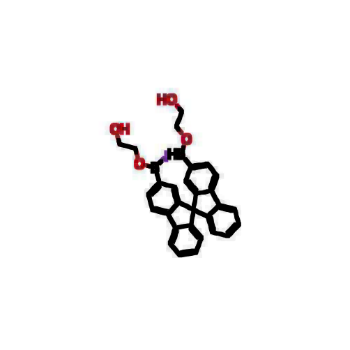 OCCOBc1ccc2c(c1)C1(c3ccccc3-2)c2ccccc2-c2ccc(B(I)OCCO)cc21